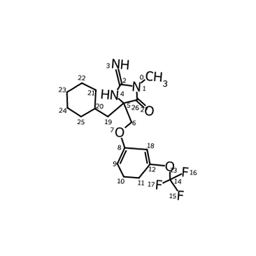 CN1C(=N)NC(COC2=CCCC(OC(F)(F)F)=C2)(CC2CCCCC2)C1=O